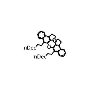 CCCCCCCCCCCCc1c(Oc2c3c(c4ccccc4c2CCCCCCCCCCCC)CCO3)c2c(c3ccccc13)CCO2